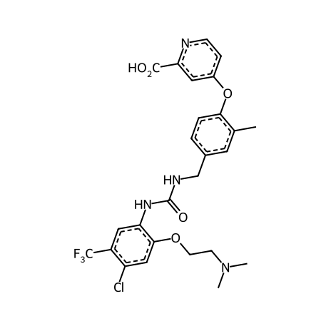 Cc1cc(CNC(=O)Nc2cc(C(F)(F)F)c(Cl)cc2OCCN(C)C)ccc1Oc1ccnc(C(=O)O)c1